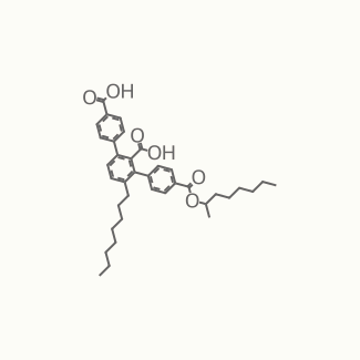 CCCCCCCCc1ccc(-c2ccc(C(=O)O)cc2)c(C(=O)O)c1-c1ccc(C(=O)OC(C)CCCCCC)cc1